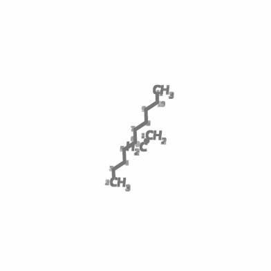 C=C.CCCCCCCCCC